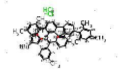 CCCC1C=C(C(C)(C)C)C=[C]1[Zr](=[C](c1cccc(C(F)(F)F)c1)c1cccc(C(F)(F)F)c1)[c]1c(-c2c(C)cc(C)cc2C)ccc2c1Cc1cc(-c3c(C)cc(C)cc3C)ccc1-2.Cl.Cl